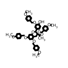 COc1ccc(COc2cc(OCc3ccc(OC)cc3)c3c(c2)OC(c2ccc(O)c(OCc4ccc(OC)cc4)c2)C(OCc2ccc(OC)cc2)(C(C)=O)C3)cc1